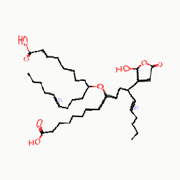 CCCC/C=C/CCCC(CCCCCCCC(=O)O)OC(CCCCCCCC(=O)O)CCC(/C=C/CCCC)C1CC(=O)OC1O